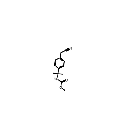 COC(=O)NC(C)(C)c1ccc(CC#N)cc1